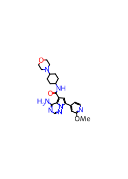 COc1cc(-c2cc(C(=O)NC3CCC(N4CCOCC4)CC3)c3c(N)ncnn23)ccn1